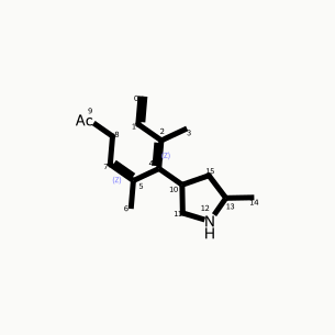 C=C/C(C)=C(\C(C)=C/CC(C)=O)C1CNC(C)C1